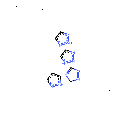 C1=NCN=N1.c1c[nH]nn1.c1cn[nH]c1.c1cn[nH]n1